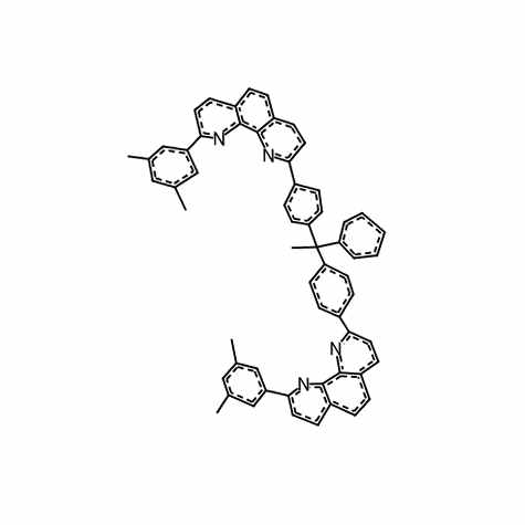 Cc1cc(C)cc(-c2ccc3ccc4ccc(-c5ccc(C(C)(c6ccccc6)c6ccc(-c7ccc8ccc9ccc(-c%10cc(C)cc(C)c%10)nc9c8n7)cc6)cc5)nc4c3n2)c1